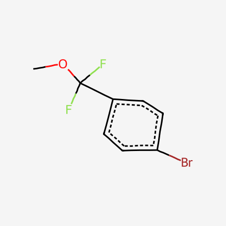 COC(F)(F)c1ccc(Br)cc1